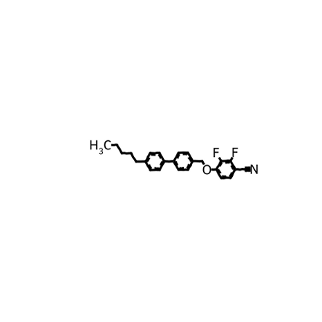 CCCCCc1ccc(-c2ccc(COc3ccc(C#N)c(F)c3F)cc2)cc1